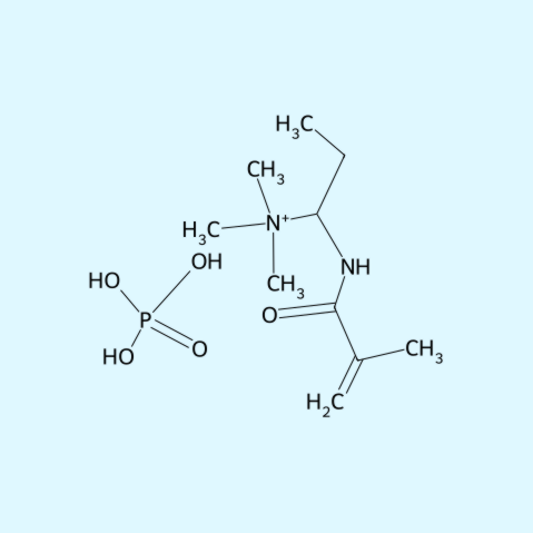 C=C(C)C(=O)NC(CC)[N+](C)(C)C.O=P(O)(O)O